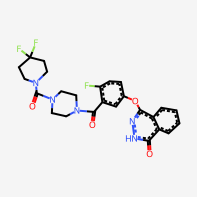 O=C(c1cc(Oc2n[nH]c(=O)c3ccccc23)ccc1F)N1CCN(C(=O)N2CCC(F)(F)CC2)CC1